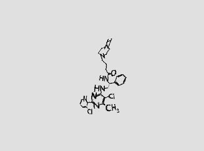 Cc1nc(-c2ncccc2Cl)nc(NC[C@H](NC(=O)CCCN2CCNCC2)c2ccccc2)c1Cl